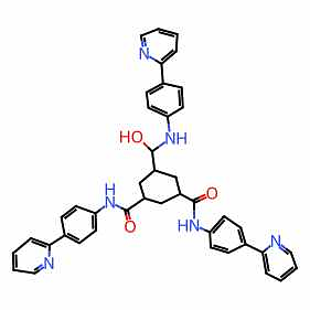 O=C(Nc1ccc(-c2ccccn2)cc1)C1CC(C(=O)Nc2ccc(-c3ccccn3)cc2)CC(C(O)Nc2ccc(-c3ccccn3)cc2)C1